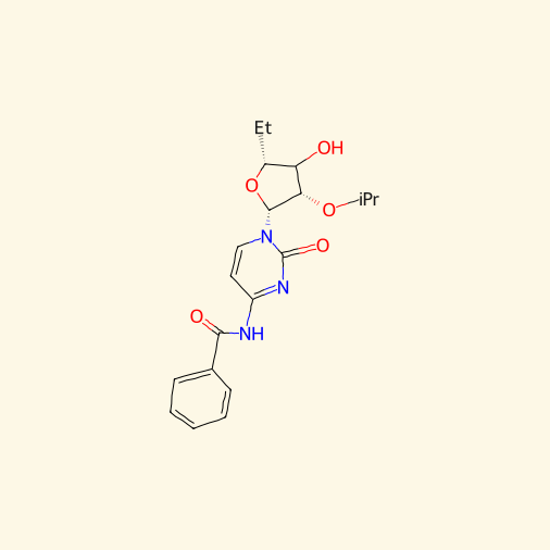 CC[C@H]1O[C@@H](n2ccc(NC(=O)c3ccccc3)nc2=O)[C@@H](OC(C)C)C1O